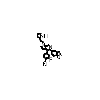 Cn1ncc2cc(-c3ncc4c(ccn4CCC4CCCN4)c3-c3ccc(C#N)c(F)c3)ccc21